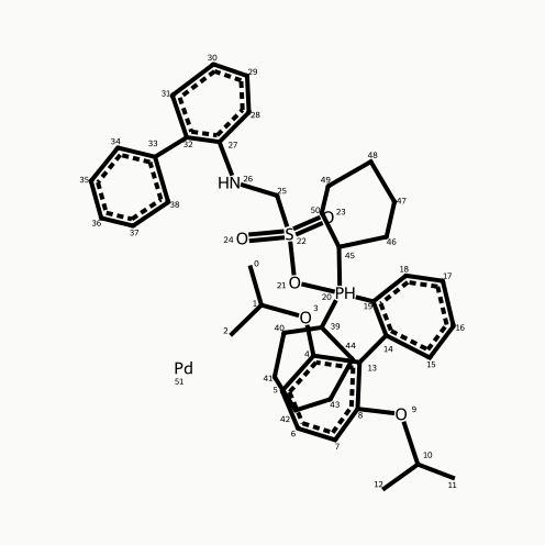 CC(C)Oc1cccc(OC(C)C)c1-c1ccccc1[PH](OS(=O)(=O)CNc1ccccc1-c1ccccc1)(C1CCCCC1)C1CCCCC1.[Pd]